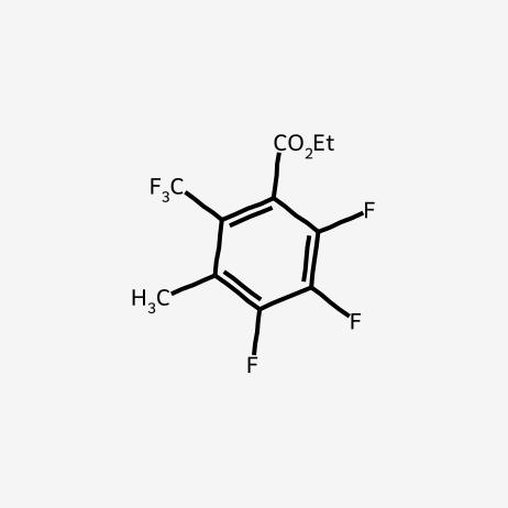 CCOC(=O)c1c(F)c(F)c(F)c(C)c1C(F)(F)F